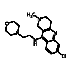 CN1CCc2nc3cc(Cl)ccc3c(NCCN3CCOCC3)c2C1